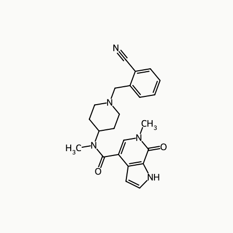 CN(C(=O)c1cn(C)c(=O)c2[nH]ccc12)C1CCN(Cc2ccccc2C#N)CC1